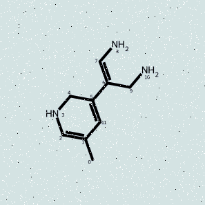 CC1=CNCC(/C(=C/N)CN)=C1